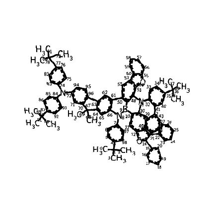 CC(C)(C)c1ccc(N2B3c4cc5oc(-c6ccccc6)c(-c6ccccc6)c5cc4N(c4ccc(C(C)(C)C)cc4-c4ccccc4)c4c3c(cc3c4oc4ccccc43)-c3cc4c(cc32)C(C)(C)c2cc(N(c3ccc(C(C)(C)C)cc3)c3ccc(C(C)(C)C)cc3)ccc2-4)cc1